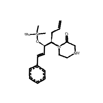 C=CC[C@H]([C@@H](C=Cc1ccccc1)O[Si](C)(C)C(C)(C)C)N1CCNCC1=O